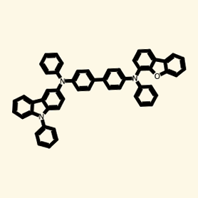 c1ccc(N(c2ccc(-c3ccc(N(c4ccccc4)c4cccc5c4oc4ccccc45)cc3)cc2)c2ccc3c(c2)c2ccccc2n3-c2ccccc2)cc1